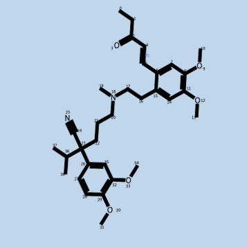 CCC(=O)/C=C/c1cc(OC)c(OC)cc1CCN(C)CCCC(C#N)(c1ccc(OC)c(OC)c1)C(C)C